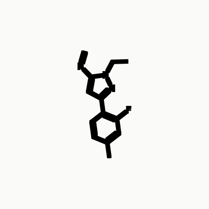 C=Nc1cc(-c2ccc(C)cc2F)nn1CC